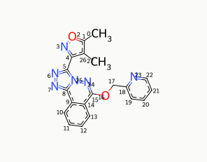 Cc1onc(-c2nnc3c4ccccc4c(OCc4ccccn4)nn23)c1C